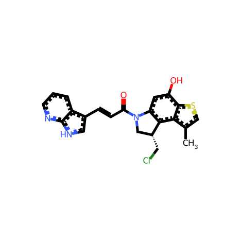 Cc1csc2c(O)cc3c(c12)[C@H](CCl)CN3C(=O)/C=C/c1c[nH]c2ncccc12